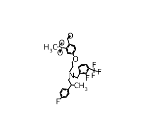 CC(CN(CCCOc1ccc(C=O)c(S(C)(=O)=O)c1)Cc1cccc(C(F)(F)F)c1F)c1ccc(F)cc1